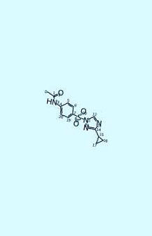 CC(=O)Nc1ccc(S(=O)(=O)n2cnc(C3CC3)n2)cc1